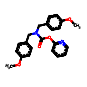 COc1ccc(CN(Cc2ccc(OC)cc2)C(=O)Oc2ccccn2)cc1